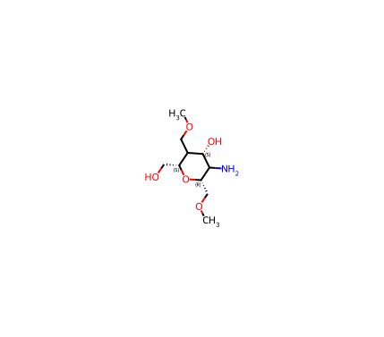 COCC1[C@H](O)C(N)[C@H](COC)O[C@@H]1CO